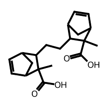 CC1(C(=O)O)C2C=CC(C2)C1CCC1C2C=CC(C2)C1(C)C(=O)O